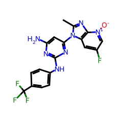 Cc1nc2c(cc(F)c[n+]2[O-])n1-c1cc(N)nc(Nc2ccc(C(F)(F)F)cc2)n1